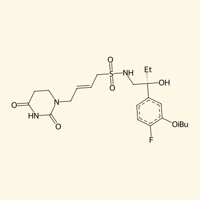 CC[C@@](O)(CNS(=O)(=O)C/C=C/CN1CCC(=O)NC1=O)c1ccc(F)c(OCC(C)C)c1